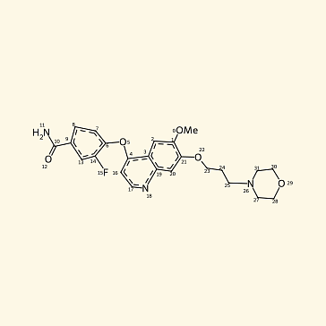 COc1cc2c(Oc3ccc(C(N)=O)cc3F)ccnc2cc1OCCCN1CCOCC1